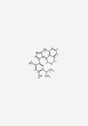 CC(C)c1cc(-c2nnc(S)n2C2CCCc3ccccc32)c(O)cc1O